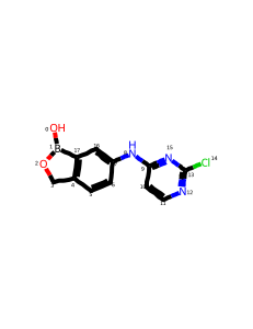 OB1OCc2ccc(Nc3ccnc(Cl)n3)cc21